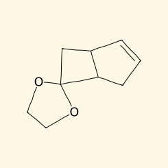 C1=CC2CC3(OCCO3)C2C1